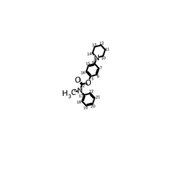 CN(C(=O)Oc1ccc(N2CCCCC2)cc1)c1ccccc1